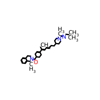 C=C/C(=C\C=C\CCC1CCN(/C(C)=N/CC(C)C)CC1)C1=CCC(C(=O)N2CCc3ccccc3C2C)CC1